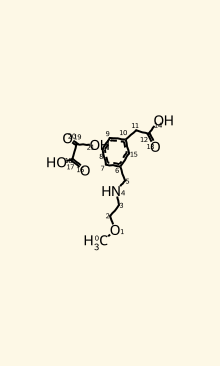 COCCNCc1cccc(CC(=O)O)c1.O=C(O)C(=O)O